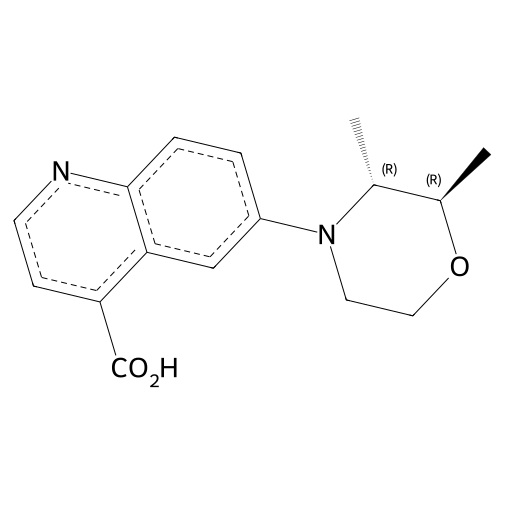 C[C@@H]1[C@@H](C)OCCN1c1ccc2nccc(C(=O)O)c2c1